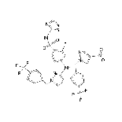 O=S(=O)(Nc1nccs1)c1ccc(Nc2ccn(Cc3ccc(C(F)(F)F)cc3)n2)cc1F.O=[N+]([O-])c1cnn(Cc2ccc(C(F)(F)F)cc2)c1